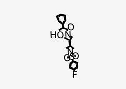 O=C(C(CO)c1ccccc1)N1CC(=C2CN(S(=O)(=O)c3ccc(F)cc3)C2)C1